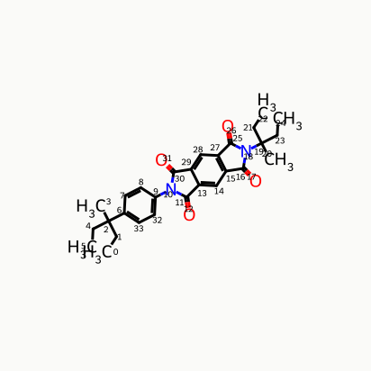 CCC(C)(CC)c1ccc(-n2c(=O)c3cc4c(=O)n(C(C)(CC)CC)c(=O)c4cc3c2=O)cc1